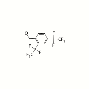 [O]Cc1ccc(C(F)(F)C(F)(F)F)cc1C(F)(F)C(F)(F)F